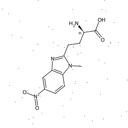 Cn1c(CC[C@@H](N)C(=O)O)nc2cc([N+](=O)[O-])ccc21